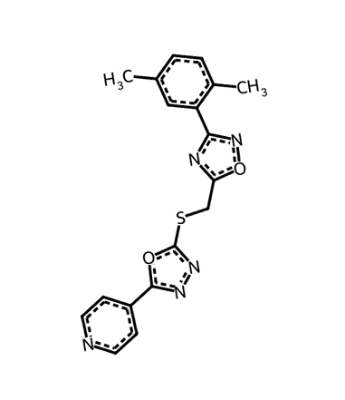 Cc1ccc(C)c(-c2noc(CSc3nnc(-c4ccncc4)o3)n2)c1